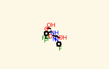 O=C(O)C[C@H](NC(=O)c1cc(O)n(-c2ccc(F)cc2)n1)c1cccc(C(F)(F)F)c1